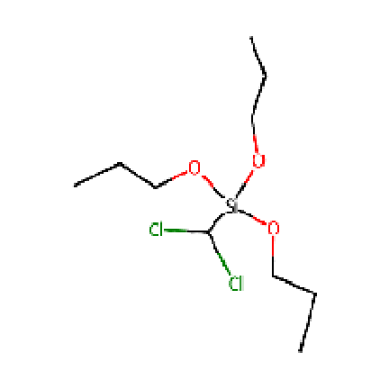 CCCO[Si](OCCC)(OCCC)C(Cl)Cl